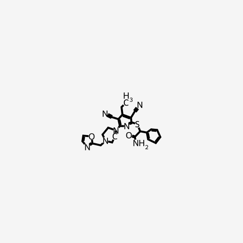 CCc1c(C#N)c(SC(C(N)=O)c2ccccc2)nc(N2CCN(Cc3ncco3)CC2)c1C#N